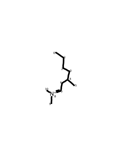 CCCCC(C)CC=[N+](C)C